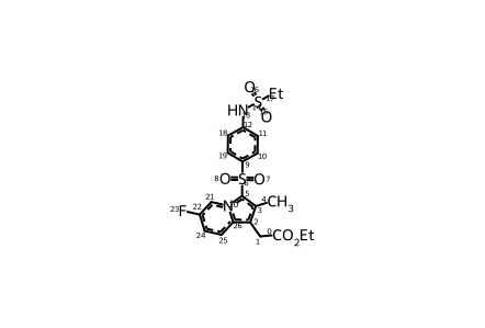 CCOC(=O)Cc1c(C)c(S(=O)(=O)c2ccc(NS(=O)(=O)CC)cc2)n2cc(F)ccc12